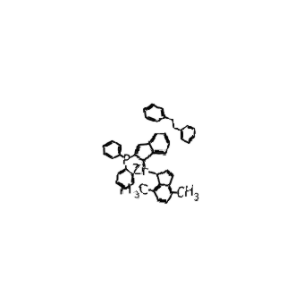 Cc1ccc(C)c2c1C=C[CH]2[Zr][CH]1C(P(c2ccccc2)c2ccccc2)=Cc2ccccc21.c1ccc(CCc2ccccc2)cc1